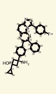 N[C@]1(c2ccc(-c3nc4ccc5nnc(-c6ccc(F)cc6)n5c4nc3-c3ccccc3)cc2)C[C@](O)(C2CC2)C1